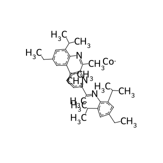 CCc1cc(C(C)C)c(N=C(C)c2cccc(C(C)=Nc3c(C(C)C)cc(CC)cc3C(C)C)n2)c(C(C)C)c1.[Co]